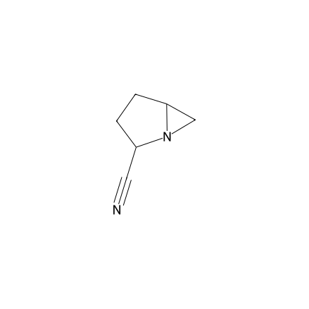 N#CC1CCC2CN12